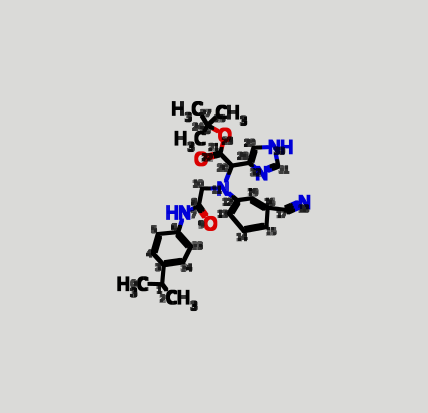 CC(C)c1ccc(NC(=O)CN(c2cccc(C#N)c2)C(C(=O)OC(C)(C)C)c2c[nH]cn2)cc1